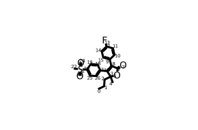 CCCC1(C)OC(=O)C(c2ccc(F)cc2)=C1c1ccc(S(C)(=O)=O)cc1